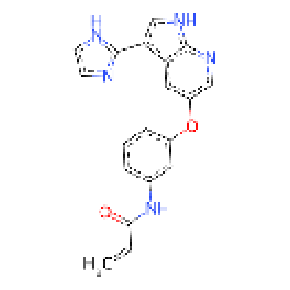 C=CC(=O)Nc1cccc(Oc2cnc3[nH]cc(-c4ncc[nH]4)c3c2)c1